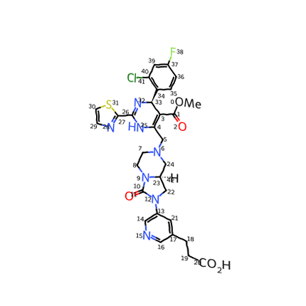 COC(=O)C1=C(CN2CCN3C(=O)N(c4cncc(CCC(=O)O)c4)C[C@@H]3C2)NC(c2nccs2)=N[C@H]1c1ccc(F)cc1Cl